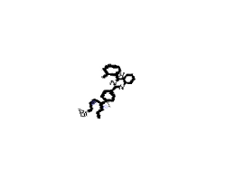 C=C/C=C(\C=C/CBr)[C@@]1(C)C=CC(C2=NC3C=CC=C[C@H]3C(C3=CC=CCC3C)=N2)=CC1